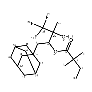 CCC(C)(C)C(=O)OC(CC12CC3CC(CC(C3)C1)C2)C(C)(O)C(F)(F)F